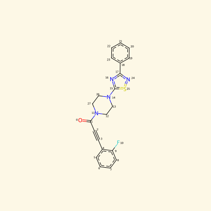 O=C(C#Cc1ccccc1F)N1CCN(c2nc(-c3ccccc3)ns2)CC1